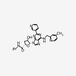 Cc1ccnc(CNc2nc(-c3cccnc3)nc3c2ncn3[C@@H]2O[C@H](C(=O)NC(C)C)C[C@H]2O)c1